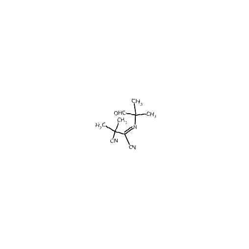 CC(C)(C=O)/N=C(/C#N)C(C)(C)C#N